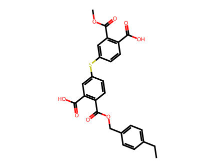 CCc1ccc(COC(=O)c2ccc(Sc3ccc(C(=O)O)c(C(=O)OC)c3)cc2C(=O)O)cc1